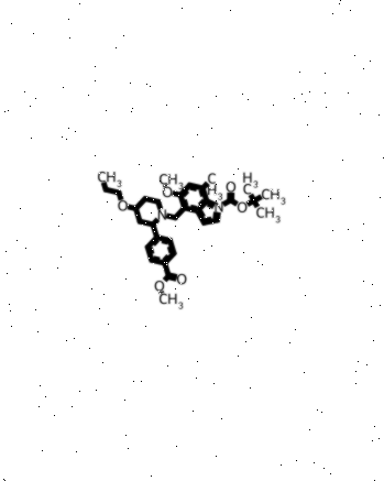 CCCOC1CCN(Cc2c(OC)cc(C)c3c2ccn3C(=O)OC(C)(C)C)C(c2ccc(C(=O)OC)cc2)C1